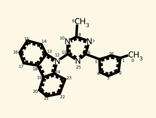 Cc1cccc(-c2nc(C)nc(-n3c4ccccc4c4ccccc43)n2)c1